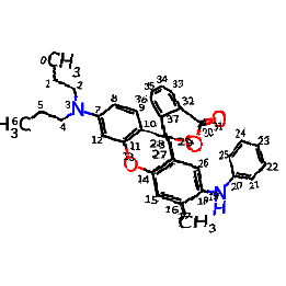 CCCN(CCC)c1ccc2c(c1)Oc1cc(C)c(Nc3ccccc3)cc1C21OC(=O)c2ccccc21